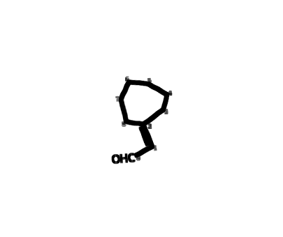 O=CC=C1CCCCCC1